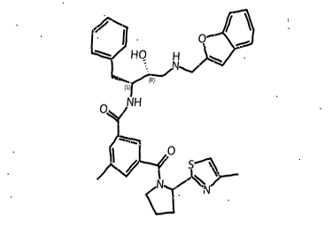 Cc1cc(C(=O)N[C@@H](Cc2ccccc2)[C@H](O)CNCc2cc3ccccc3o2)cc(C(=O)N2CCCC2c2nc(C)cs2)c1